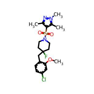 COc1cc(Cl)ccc1CC1(F)CCN(S(=O)(=O)c2c(C)nn(C)c2C)CC1